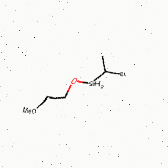 CCC(C)[SiH2]OCCOC